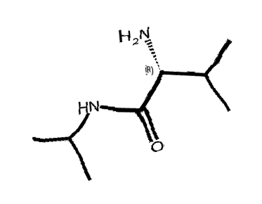 CC(C)NC(=O)[C@H](N)C(C)C